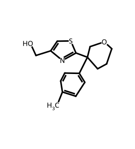 Cc1ccc(C2(c3nc(CO)cs3)CCCOC2)cc1